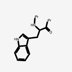 CC(C)NC(Cc1c[nH]c2ccccc12)C(=O)C(C)C